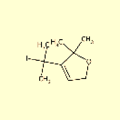 CC(C)(I)C1=CCOC1(C)C